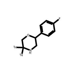 [2H]C1([2H])COC(c2ccc(F)cc2)CN1